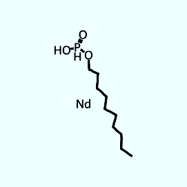 CCCCCCCCCCO[PH](=O)O.[Nd]